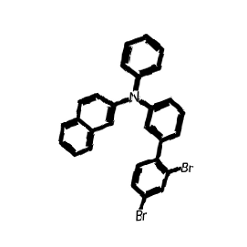 Brc1ccc(-c2cccc(N(c3ccccc3)c3ccc4ccccc4c3)c2)c(Br)c1